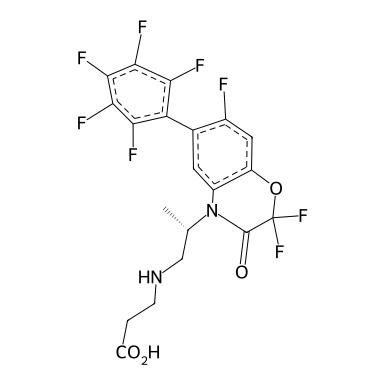 C[C@@H](CNCCC(=O)O)N1C(=O)C(F)(F)Oc2cc(F)c(-c3c(F)c(F)c(F)c(F)c3F)cc21